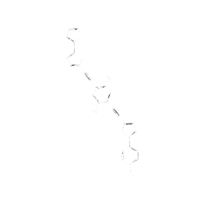 Nc1cc(C#Cc2ccc(-c3cccs3)s2)c([N+](=O)[O-])cc1C#Cc1ccc(-c2ccc(S)cc2)s1